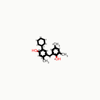 Cc1cc(C)c(O)c(Cc2cc(C3CCCCC3)c(O)cc2C)c1